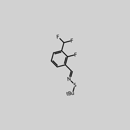 CC(C)(C)S/N=C/c1cccc(C(F)F)c1F